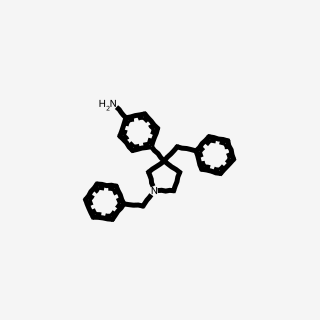 Nc1ccc(C2(Cc3ccccc3)CCN(Cc3ccccc3)C2)cc1